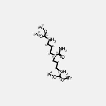 CC(C)OC(OC(C)C)[SiH2]CCCN(CCC[SiH2]C(OC(C)C)OC(C)C)C(N)=O